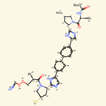 COC(=O)N[C@H](C(=O)N1C[C@@H](SC)C[C@H]1c1ncc(-c2ccc(-c3ccc(-c4cnc([C@@H]5C[C@H](S)CN5C(=O)[C@@H](COOC=N)C(C)C)[nH]4)cc3)cc2)[nH]1)C(C)C